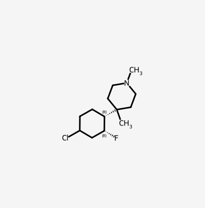 CN1CCC(C)([C@H]2CCC(Cl)C[C@H]2F)CC1